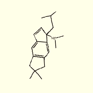 CC(C)C[C]1([Hf]([CH3])[CH3])C=Cc2cc3c(cc21)CC(C)(C)C3